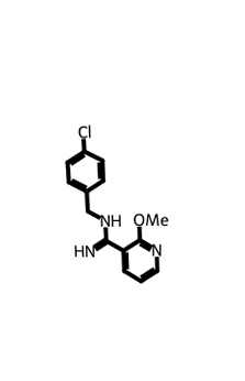 COc1ncccc1C(=N)NCc1ccc(Cl)cc1